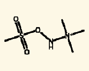 C[N+](C)(C)NOS(C)(=O)=O